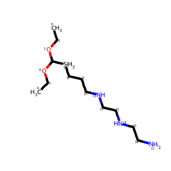 CCOC(OCC)[SiH2]CCCNCCNCCN